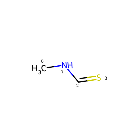 CNC=S